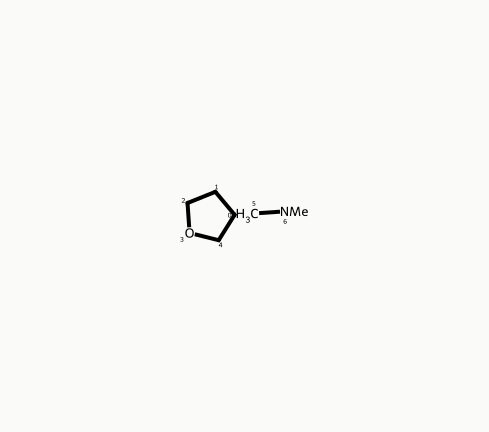 C1CCOC1.CNC